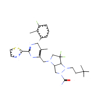 CCOC(=O)C1=C(CN2CC(F)(F)C3C2CN(C(N)=O)N3CCC(C)(C)C(=O)O)NC(c2nccs2)=N[C@H]1c1cccc(F)c1C